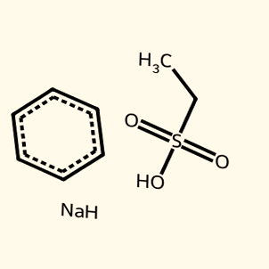 CCS(=O)(=O)O.[NaH].c1ccccc1